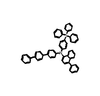 c1ccc(-c2ccc(-c3ccc(N(c4ccc(S(c5ccccc5)(c5ccccc5)c5ccccc5)cc4)c4ccc(-c5ccccc5)c5ccccc45)cc3)cc2)cc1